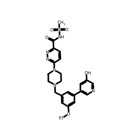 CCOc1cc(CN2CCN(c3ccc(C(=O)NS(C)(=O)=O)nn3)CC2)cc(-c2cncc(O)c2)c1